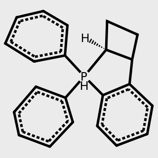 c1ccc([PH]2(c3ccccc3)c3ccccc3C3CC[C@@H]32)cc1